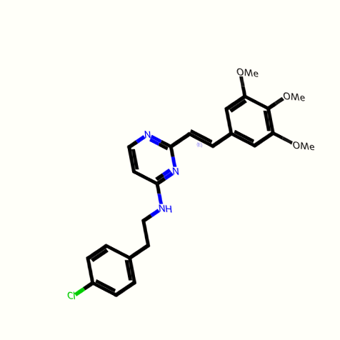 COc1cc(/C=C/c2nccc(NCCc3ccc(Cl)cc3)n2)cc(OC)c1OC